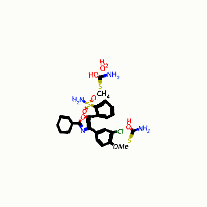 C.COc1ccc(-c2nc(C3CCCCC3)oc2-c2ccccc2S(N)(=O)=O)cc1Cl.NC(O)=S.NC(O)=S.O